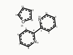 c1ccc(-c2ccccn2)nc1.c1ccoc1